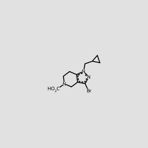 O=C(O)N1CCc2c(c(Br)nn2CC2CC2)C1